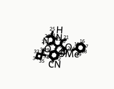 COc1cc(C#N)ccc1C1C(C(=O)OCc2ccccc2)=C(C)Nc2c(C)cnc(OCC3(C)CCC3)c21